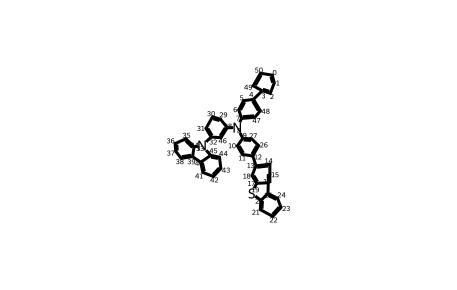 c1ccc(-c2ccc(N(c3ccc(-c4ccc5c(c4)sc4ccccc45)cc3)c3cccc(-n4c5ccccc5c5ccccc54)c3)cc2)cc1